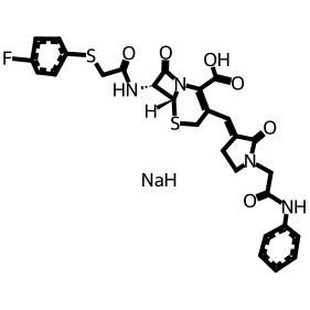 O=C(CN1CC/C(=C\C2=C(C(=O)O)N3C(=O)[C@@H](NC(=O)CSc4ccc(F)cc4)[C@H]3SC2)C1=O)Nc1ccccc1.[NaH]